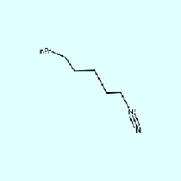 CCCCCCCC[N+]#N